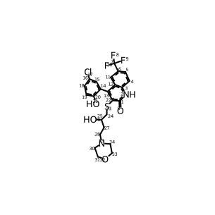 O=c1[nH]c2ccc(C(F)(F)F)cc2c(-c2cc(Cl)ccc2O)c1SCC(O)CCN1CCOCC1